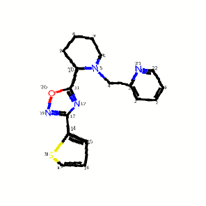 c1ccc(CN2CCCCC2c2nc(-c3cccs3)no2)nc1